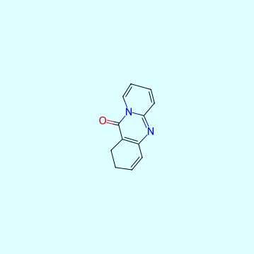 O=c1c2c(nc3ccccn13)C=CCC2